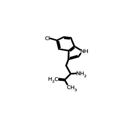 C=C(C)C(N)Cc1c[nH]c2ccc(Cl)cc12